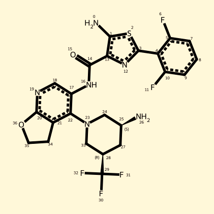 Nc1sc(-c2c(F)cccc2F)nc1C(=O)Nc1cnc2c(c1N1C[C@@H](N)C[C@@H](C(F)(F)F)C1)CCO2